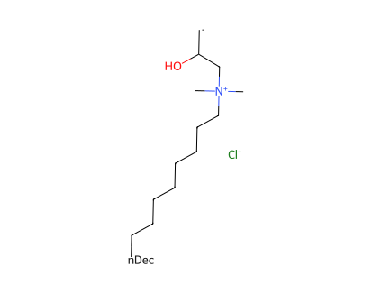 [CH2]C(O)C[N+](C)(C)CCCCCCCCCCCCCCCCCC.[Cl-]